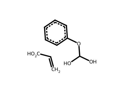 C=CC(=O)O.OC(O)Oc1ccccc1